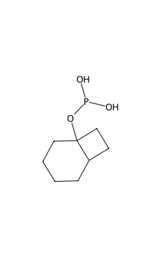 OP(O)OC12CCCCC1CC2